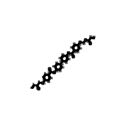 C=CC(=O)COc1ccc(C(=O)Oc2ccc(-c3ccc(OC(=O)c4ccc(OCOC(=O)C=C)cc4)cc3)cc2)cc1